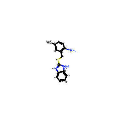 CCCCc1ccc(N)c(CSc2nc3ccccc3[nH]2)c1